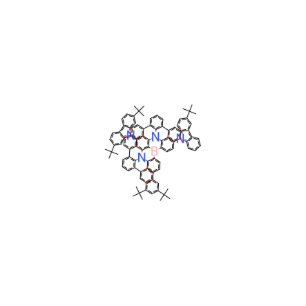 CC(C)(C)c1cc(-c2ccc3c(c2)N(c2c(-c4ccccc4)cccc2-c2ccccc2)c2cc(-n4c5cc(C(C)(C)C)ccc5c5ccc(C(C)(C)C)cc54)cc4c2B3c2ccc(-n3c5ccccc5c5cc(C(C)(C)C)ccc53)cc2N4c2c(-c3ccccc3)cccc2-c2ccccc2)cc(C(C)(C)C)c1